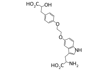 NC(Cc1c[nH]c2ccc(OCCOc3ccc(CC(O)C(=O)O)cc3)cc12)C(=O)O